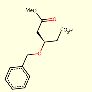 COC(=O)C[C@@H](CC(=O)O)OCc1ccccc1